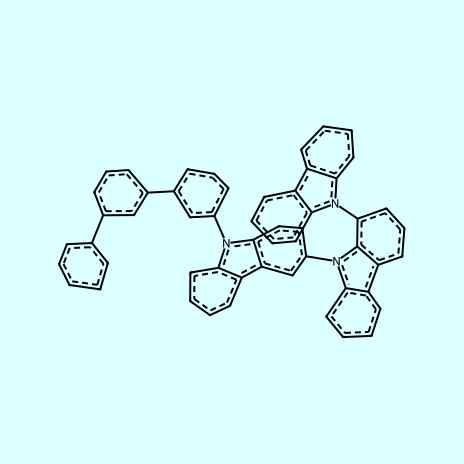 c1ccc(-c2cccc(-c3cccc(-n4c5ccccc5c5cc(-n6c7ccccc7c7cccc(-n8c9ccccc9c9ccccc98)c76)ccc54)c3)c2)cc1